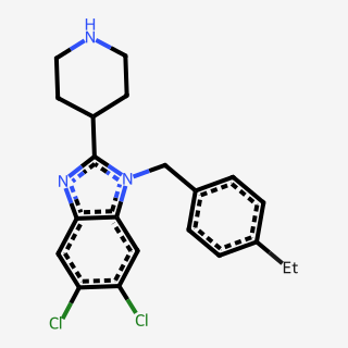 CCc1ccc(Cn2c(C3CCNCC3)nc3cc(Cl)c(Cl)cc32)cc1